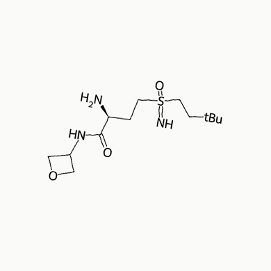 CC(C)(C)CCS(=N)(=O)CC[C@H](N)C(=O)NC1COC1